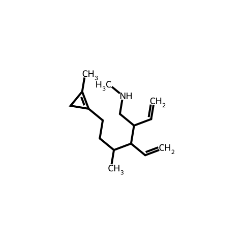 C=CC(CNC)C(C=C)C(C)CCC1=C(C)C1